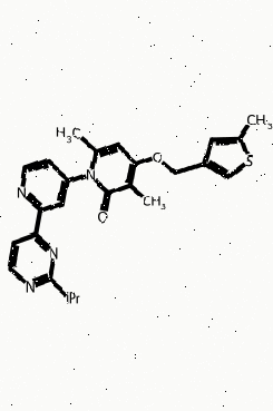 Cc1cc(COc2cc(C)n(-c3ccnc(-c4ccnc(C(C)C)n4)c3)c(=O)c2C)cs1